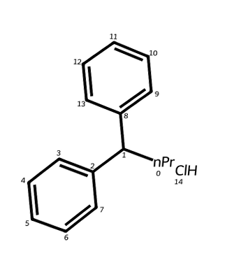 CCCC(c1ccccc1)c1ccccc1.Cl